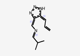 C=C/C=c1/[nH]nn/c1=C/N=C/C(C)C